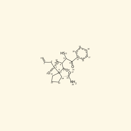 C=CCS(=O)(=O)[N+]1(C(=O)C(C)C(S)C(=O)c2ccccc2)CCC[C@H]1C(N)=O